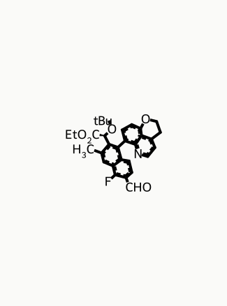 CCOC(=O)[C@@H](OC(C)(C)C)c1c(C)cc2c(F)c(C=O)ccc2c1-c1ccc2c3c(ccnc13)CCO2